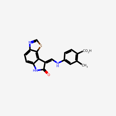 Cc1cc(N/C=C2\C(=O)Nc3ccc4ncsc4c32)ccc1C(=O)O